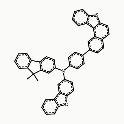 CC1(C)c2ccccc2-c2ccc(N(c3ccc(-c4ccc5ccc6sc7ccccc7c6c5c4)cc3)c3ccc4oc5ccccc5c4c3)cc21